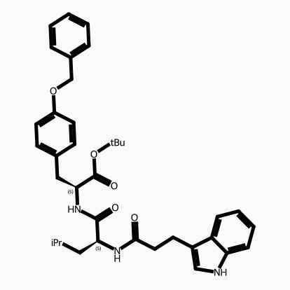 CC(C)C[C@H](NC(=O)CCc1c[nH]c2ccccc12)C(=O)N[C@@H](Cc1ccc(OCc2ccccc2)cc1)C(=O)OC(C)(C)C